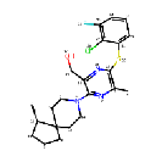 Cc1nc(N2CCC3(CCC[C@H]3C)CC2)c(CO)nc1Sc1cccc(F)c1Cl